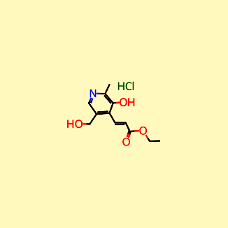 CCOC(=O)/C=C/c1c(CO)cnc(C)c1O.Cl